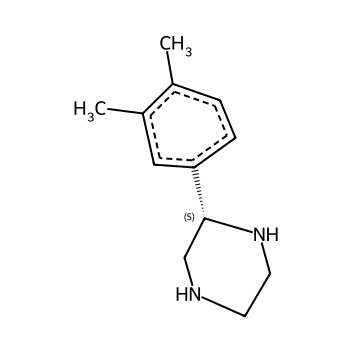 Cc1ccc([C@H]2CNCCN2)cc1C